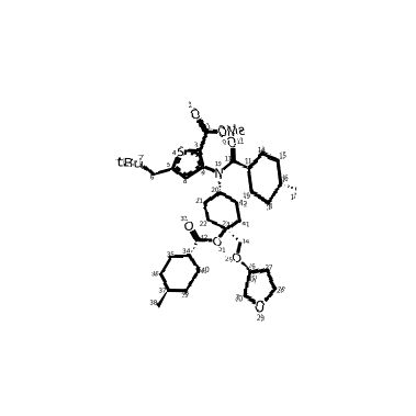 COC(=O)c1sc(CC(C)(C)C)cc1N(C(=O)[C@H]1CC[C@H](C)CC1)[C@H]1CC[C@](CO[C@H]2CCOC2)(OC(=O)[C@H]2CC[C@H](C)CC2)CC1